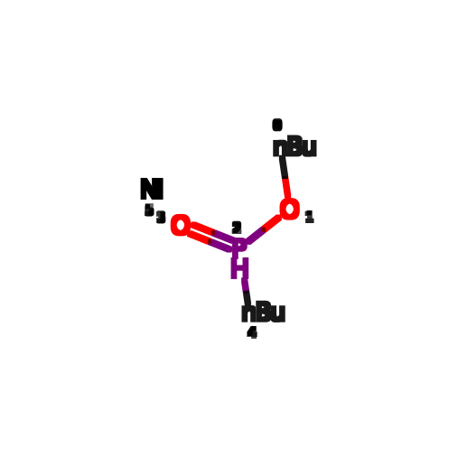 CCCCO[PH](=O)CCCC.[Ni]